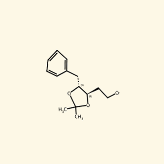 CC1(C)O[C@H](CC[O])[C@@H](Cc2ccccc2)O1